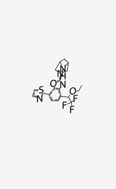 CCOC(c1ccc(-c2nccs2)c2oc(N3CC4CC(C3)N4)nc12)C(F)(F)F